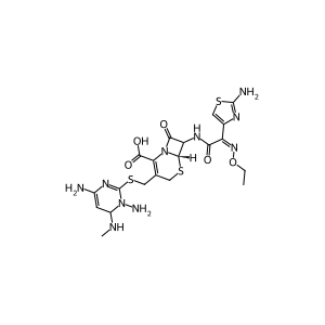 CCO/N=C(\C(=O)NC1C(=O)N2C(C(=O)O)=C(CSC3=NC(N)=CC(NC)N3N)CS[C@@H]12)c1csc(N)n1